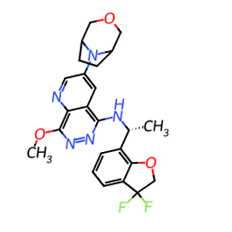 COc1nnc(N[C@H](C)c2cccc3c2OCC3(F)F)c2cc(N3C4CCC3COC4)cnc12